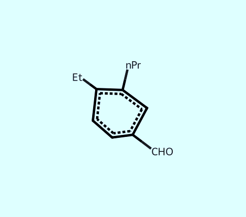 CCCc1cc(C=O)ccc1CC